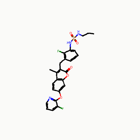 CCCNS(=O)(=O)Nc1cccc(Cc2c(C)c3ccc(Oc4ncccc4F)cc3oc2=O)c1F